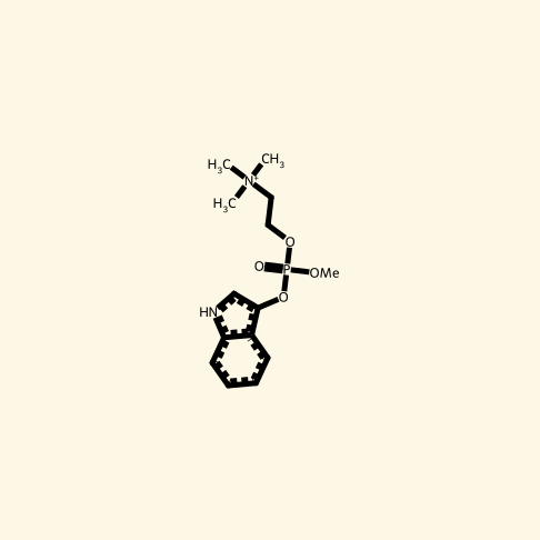 COP(=O)(OCC[N+](C)(C)C)Oc1c[nH]c2ccccc12